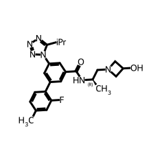 Cc1ccc(-c2cc(C(=O)N[C@H](C)CN3CC(O)C3)cc(-n3nnnc3C(C)C)c2)c(F)c1